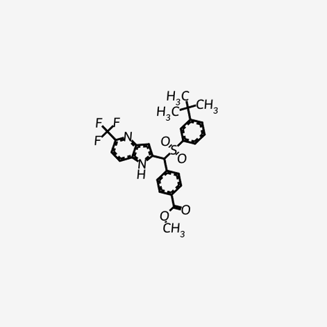 COC(=O)c1ccc(C(c2cc3nc(C(F)(F)F)ccc3[nH]2)S(=O)(=O)c2cccc(C(C)(C)C)c2)cc1